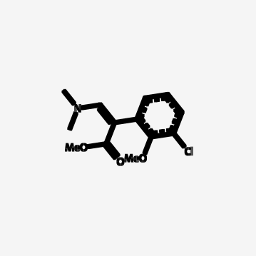 COC(=O)/C(=C\N(C)C)c1cccc(Cl)c1OC